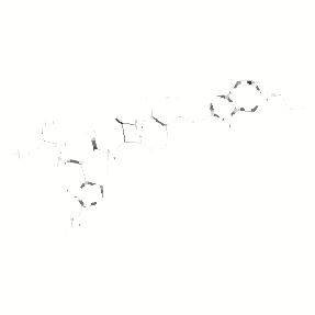 C[C@H](O/N=C(\C(=O)NC1C(=O)N2C(C(=O)[O-])=C(CSc3nc4c[n+](CCF)ccc4s3)CS[C@@H]12)c1csc(N)n1)C(=O)O